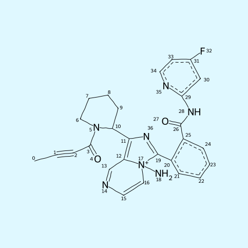 CC#CC(=O)N1CCCCC1C1=C2C=NC=C[N+]2(N)C(c2ccccc2C(=O)Nc2cc(F)ccn2)=N1